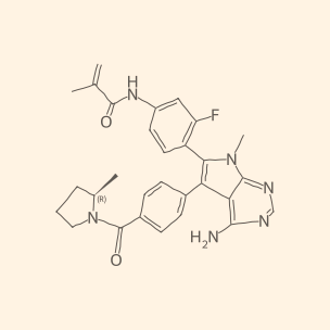 C=C(C)C(=O)Nc1ccc(-c2c(-c3ccc(C(=O)N4CCC[C@H]4C)cc3)c3c(N)ncnc3n2C)c(F)c1